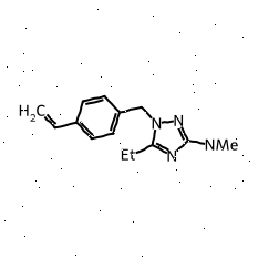 C=Cc1ccc(Cn2nc(NC)nc2CC)cc1